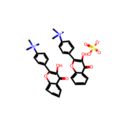 C[N+](C)(C)c1ccc(-c2oc3ccccc3c(=O)c2O)cc1.C[N+](C)(C)c1ccc(-c2oc3ccccc3c(=O)c2O)cc1.O=S(=O)([O-])[O-]